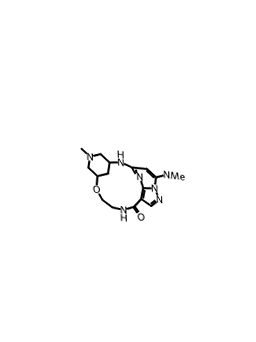 CNc1cc2nc3c(cnn13)C(=O)NCCOC1CC(CN(C)C1)N2